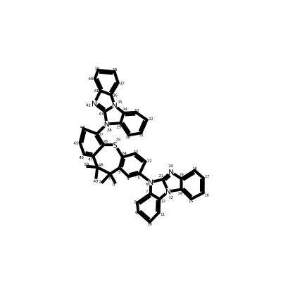 CC1(C)c2cc(-n3c4ccccc4n4c5ccccc5nc34)ccc2Sc2c(-n3c4ccccc4n4c5ccccc5nc34)cccc2C1(C)C